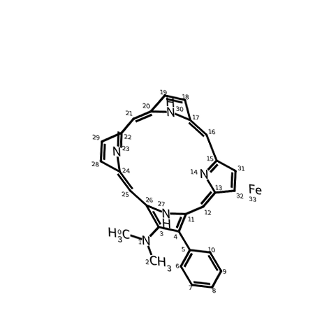 CN(C)c1c(-c2ccccc2)c2cc3nc(cc4ccc(cc5nc(cc1[nH]2)C=C5)[nH]4)C=C3.[Fe]